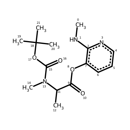 CNc1ncccc1OC(=O)C(C)N(C)C(=O)OC(C)(C)C